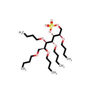 CCCCOC[C@H](OCCCC)[C@@H](OCCCC)[C@@H](OCCCC)[C@@H]1OS(=O)(=O)OC[C@H]1OCCCC